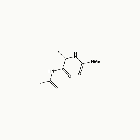 C=C(C)NC(=O)[C@H](C)NC(=O)NC